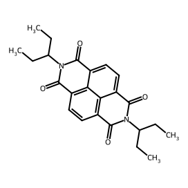 CCC(CC)N1C(=O)c2ccc3c4c(ccc(c24)C1=O)C(=O)N(C(CC)CC)C3=O